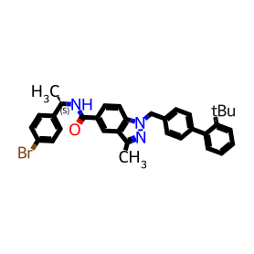 Cc1nn(Cc2ccc(-c3ccccc3C(C)(C)C)cc2)c2ccc(C(=O)N[C@@H](C)c3ccc(Br)cc3)cc12